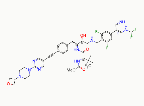 COC(=O)N[C@H](C(=O)N[C@@H](Cc1ccc(C#Cc2cnc(N3CCN(C4COC4)CC3)nc2)cc1)[C@@H](O)CNCc1c(F)cc(/C(C=N)=C/NC(F)F)cc1F)C(C)(C)C(F)(F)F